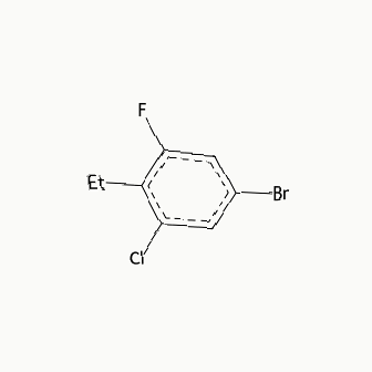 CCc1c(F)cc(Br)cc1Cl